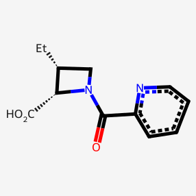 CC[C@@H]1CN(C(=O)c2ccccn2)[C@@H]1C(=O)O